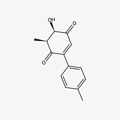 Cc1ccc(C2=CC(=O)[C@H](O)[C@H](C)C2=O)cc1